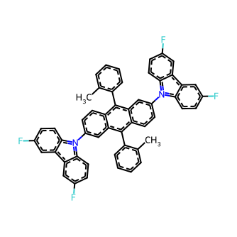 Cc1ccccc1-c1c2ccc(-n3c4ccc(F)cc4c4cc(F)ccc43)cc2c(-c2ccccc2C)c2ccc(-n3c4ccc(F)cc4c4cc(F)ccc43)cc12